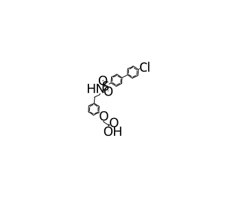 O=C(O)COc1cccc(CCNS(=O)(=O)c2ccc(-c3ccc(Cl)cc3)cc2)c1